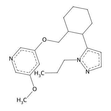 CCCn1nccc1C1CCCCC1COc1cncc(OC)c1